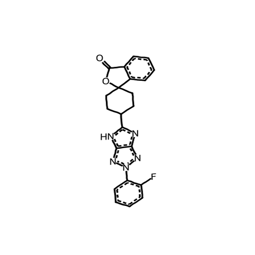 O=C1OC2(CCC(c3nc4nn(-c5ccccc5F)nc4[nH]3)CC2)c2ccccc21